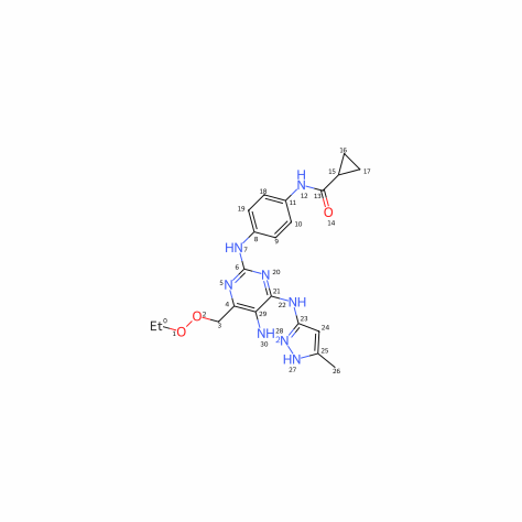 CCOOCc1nc(Nc2ccc(NC(=O)C3CC3)cc2)nc(Nc2cc(C)[nH]n2)c1N